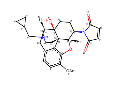 CC(=O)Oc1ccc2c3c1O[C@H]1[C@H](N4C(=O)C=CC4=O)CC[C@@]4(O)[C@@H](C2)N(CC2CC2)CC[C@]314